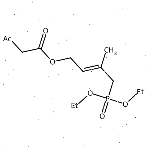 CCOP(=O)(CC(C)=CCOC(=O)CC(C)=O)OCC